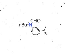 C=C(C)c1cccc(N(C=O)CCCC)c1